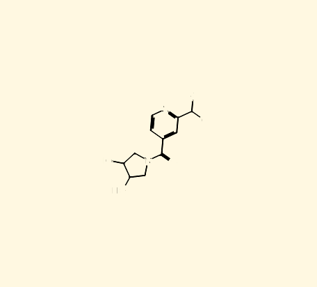 CC(C)c1cc(C(=O)N2CC(O)C(O)C2)ccn1